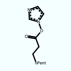 CCCCCCCC(=O)On1ccnc1